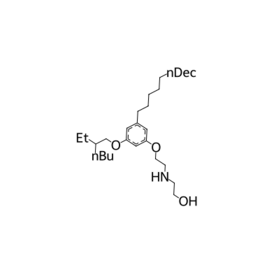 CCCCCCCCCCCCCCCc1cc(OCCNCCO)cc(OCC(CC)CCCC)c1